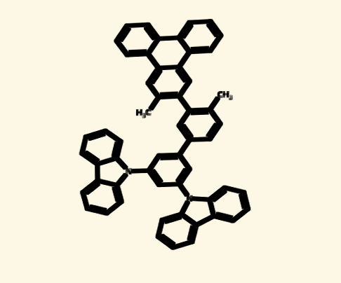 Cc1ccc(-c2cc(-n3c4ccccc4c4ccccc43)cc(-n3c4ccccc4c4ccccc43)c2)cc1-c1cc2c3ccccc3c3ccccc3c2cc1C